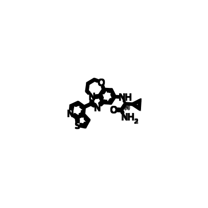 NC(=O)[C@@H](Nc1cc2c3c(c1)nc(-c1ccnc4sccc14)n3CCCO2)C1CC1